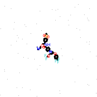 CCS(=O)(=O)c1ccc(C(COCCN(C)C)NC(=O)c2ccc(N3C[C@@H](Oc4ccc(C(F)(F)F)cc4)C[C@H]3COC(F)F)cc2)cc1